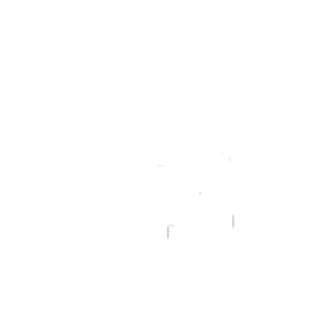 CCCCc1cc2ccccc2[s+]1C(F)(F)F.O=C([O-])C(F)(F)F